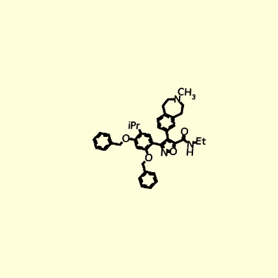 CCNC(=O)c1onc(-c2cc(C(C)C)c(OCc3ccccc3)cc2OCc2ccccc2)c1-c1ccc2c(c1)CCN(C)CC2